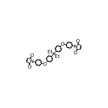 CCC(CC)(c1ccc(Oc2ccc(N3C(=O)C=CC3=O)cc2)cc1)c1ccc(Oc2ccc(N3C(=O)C=CC3=O)cc2)cc1